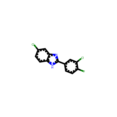 Fc1ccc(-c2nc3cc(Cl)ccc3[nH]2)cc1Cl